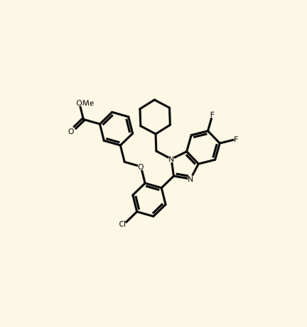 COC(=O)c1cccc(COc2cc(Cl)ccc2-c2nc3cc(F)c(F)cc3n2CC2CCCCC2)c1